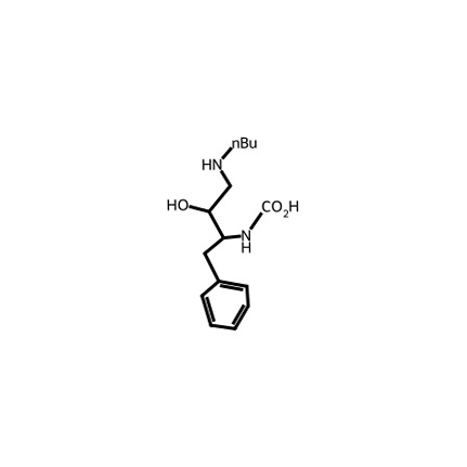 CCCCNCC(O)C(Cc1ccccc1)NC(=O)O